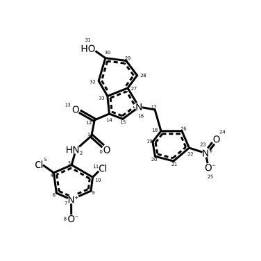 O=C(Nc1c(Cl)c[n+]([O-])cc1Cl)C(=O)c1cn(Cc2cccc([N+](=O)[O-])c2)c2ccc(O)cc12